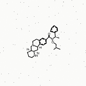 CC(C)CON(C(=O)c1ccc2c(c1)CCN1C[C@@H]3CCCN[C@@H]3C[C@H]21)[C@H](C)c1ccccc1